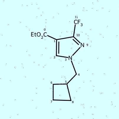 CCOC(=O)c1cn(CC2CCC2)nc1C(F)(F)F